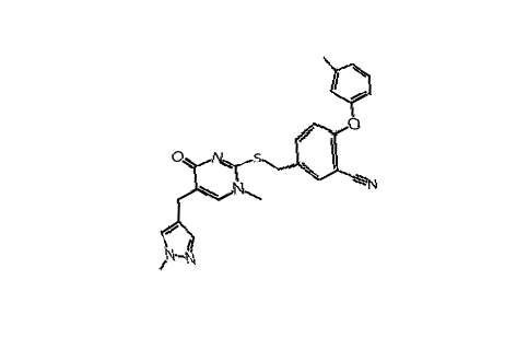 Cc1cccc(Oc2ccc(CSc3nc(=O)c(Cc4cnn(C)c4)cn3C)cc2C#N)c1